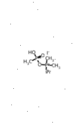 CC(C)[P+](C)(C)OP(C)(=O)O.[I-]